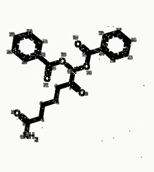 NC(=O)CCCCC(=O)N(OC(=O)c1ccccc1)OC(=O)c1ccccc1